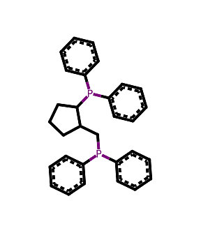 c1ccc(P(CC2CCCC2P(c2ccccc2)c2ccccc2)c2ccccc2)cc1